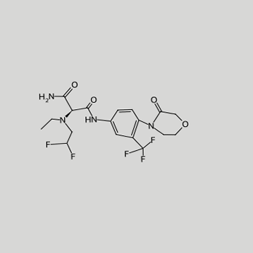 CCN(CC(F)F)[C@@H](C(N)=O)C(=O)Nc1ccc(N2CCOCC2=O)c(C(F)(F)F)c1